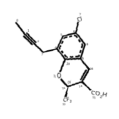 CC#CCc1cc(Cl)cc2c1O[C@H](C(F)(F)F)C(C(=O)O)=C2